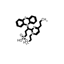 CCCC1=NC(C(CCS(=O)(=O)O)N2c3ccccc3Sc3ccccc32)N(CCC)C=C1